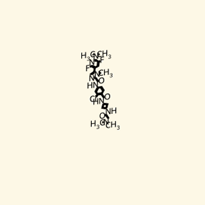 CN(C)CC(=O)NC1CC(NC(=O)c2ccc(NC(=O)c3ncc(-c4cc(F)c(N(C)C)nc4F)n3C)cc2Cl)C1